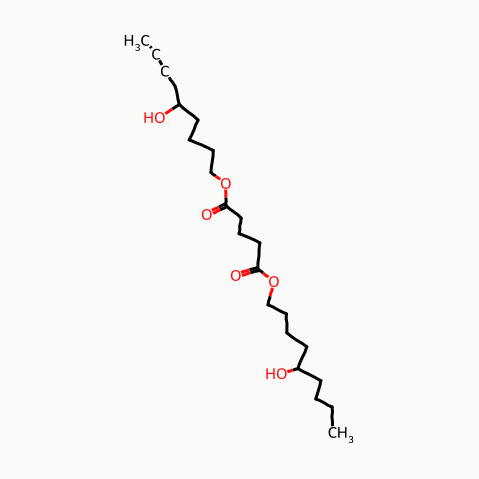 CCCCC(O)CCCCOC(=O)CCCC(=O)OCCCCC(O)CCCC